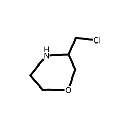 ClCC1COCCN1